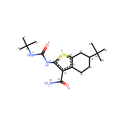 CC(C)(C)NC(=O)Nc1sc2c(c1C(N)=O)CCC(C(C)(C)C)C2